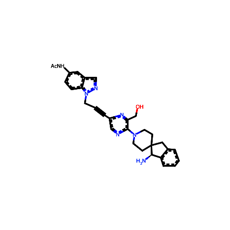 CC(=O)Nc1ccc2c(cnn2CC#Cc2cnc(N3CCC4(CC3)Cc3ccccc3[C@H]4N)c(CO)n2)c1